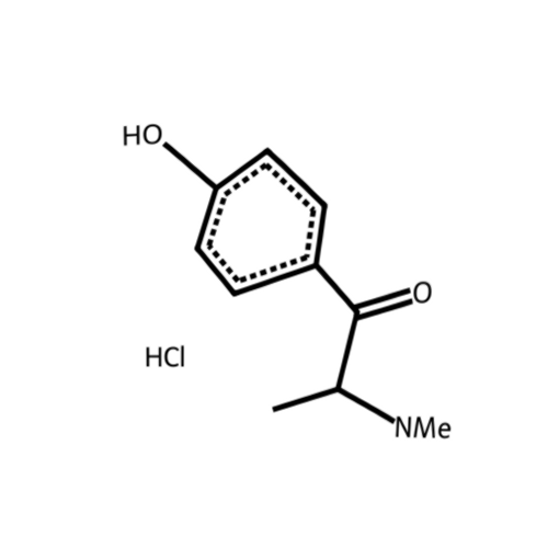 CNC(C)C(=O)c1ccc(O)cc1.Cl